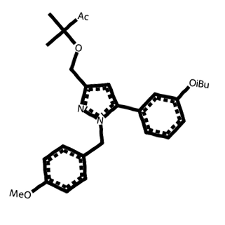 COc1ccc(Cn2nc(COC(C)(C)C(C)=O)cc2-c2cccc(OCC(C)C)c2)cc1